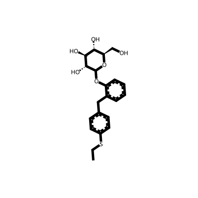 CCSc1ccc(Cc2ccccc2OC2O[C@H](CO)[C@@H](O)[C@H](O)[C@H]2O)cc1